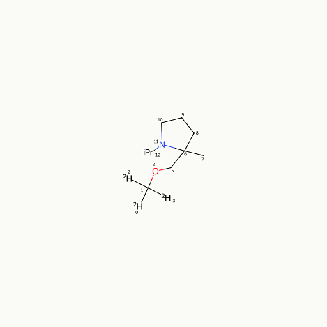 [2H]C([2H])([2H])OCC1(C)CCCN1C(C)C